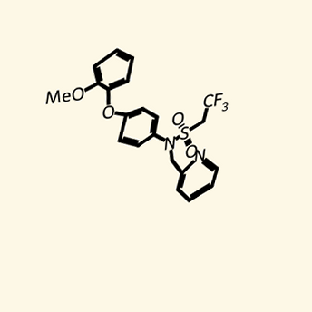 COc1ccccc1Oc1ccc(N(Cc2ccccn2)S(=O)(=O)CC(F)(F)F)cc1